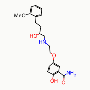 COc1ccccc1CCC(O)CNCCOc1ccc(O)c(C(N)=O)c1